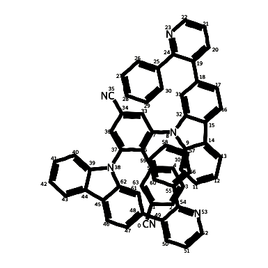 N#Cc1cccc(-c2c(-n3c4ccccc4c4ccc(-c5cccnc5-c5ccccc5)cc43)cc(C#N)cc2-n2c3ccccc3c3ccc(-c4cccnc4-c4ccccc4)cc32)c1